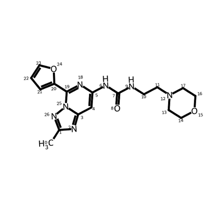 Cc1nc2cc(NC(=O)NCCN3CCOCC3)nc(-c3ccco3)n2n1